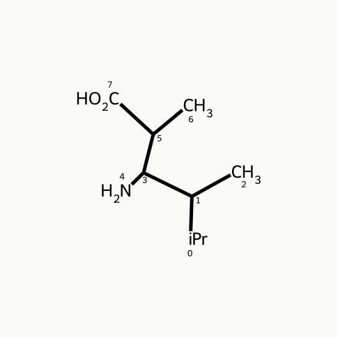 CC(C)C(C)C(N)C(C)C(=O)O